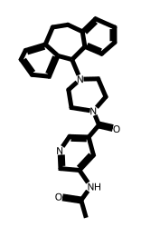 CC(=O)Nc1cncc(C(=O)N2CCN(C3c4ccccc4CCc4ccccc43)CC2)c1